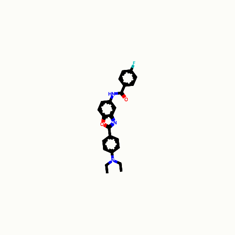 CCN(CC)c1ccc(-c2nc3cc(NC(=O)c4ccc(F)cc4)ccc3o2)cc1